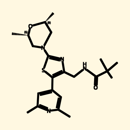 Cc1cc(-c2sc(N3C[C@@H](C)O[C@@H](C)C3)nc2CNC(=O)C(C)(C)C)cc(C)n1